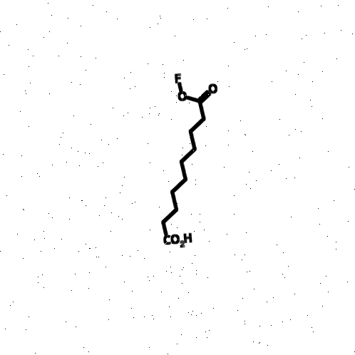 O=C(O)CCCCCCCCC(=O)OF